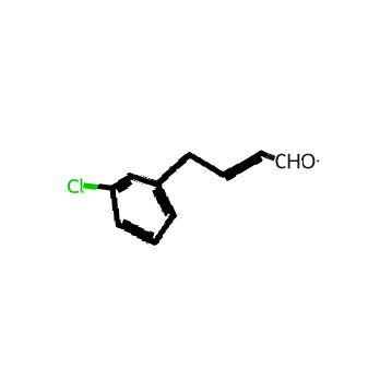 O=[C]C=CCc1cccc(Cl)c1